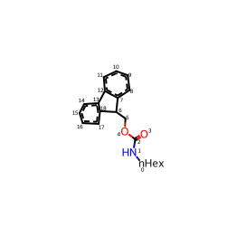 [CH2]CCCCCNC(=O)OCC1c2ccccc2-c2ccccc21